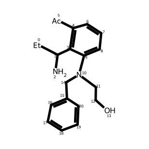 CCC(N)c1c(C(C)=O)cccc1N(CCO)Cc1ccccc1